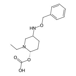 CCN1CC(NOCc2ccccc2)CC[C@@H]1OC(=O)O